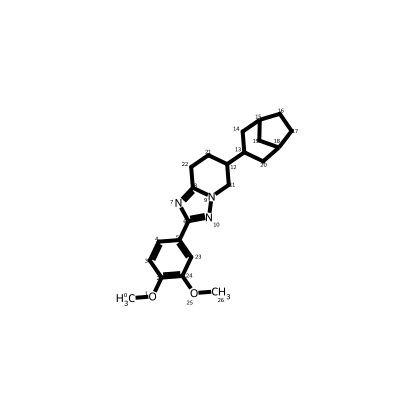 COc1ccc(-c2nc3n(n2)CC(C2CC4CCC(C4)C2)CC3)cc1OC